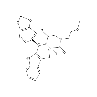 COCCN1CC(=O)N2[C@H](c3ccc4c(c3)OCO4)c3[nH]c4ccccc4c3C[C@@H]2C1=O